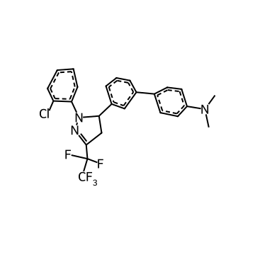 CN(C)c1ccc(-c2cccc(C3CC(C(F)(F)C(F)(F)F)=NN3c3ccccc3Cl)c2)cc1